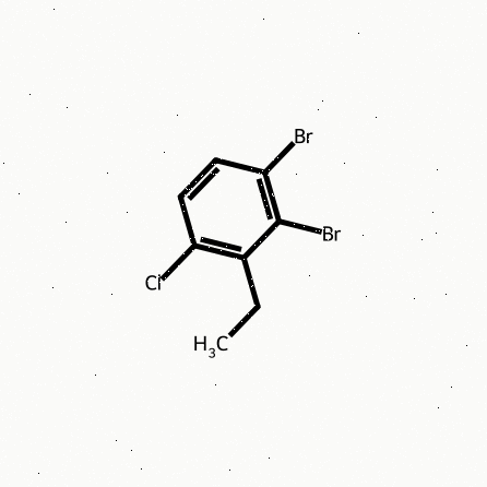 CCc1c(Cl)ccc(Br)c1Br